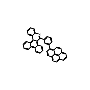 c1cc(-c2ccc3ccc4cccc5ccc2c3c45)cc(-c2nc3ccccc3c3c4ccccc4c4ccccc4c23)c1